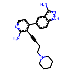 Nc1nccc(-c2ccc3[nH]nc(N)c3c2)c1C#CCCN1CCCCC1